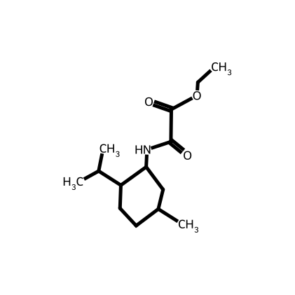 CCOC(=O)C(=O)NC1CC(C)CCC1C(C)C